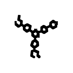 C=C/C=C(\C=C/C)c1ccc(-c2cc(-c3ccc(C(/C=C\C)=C/C=C)cc3)nc(-c3ccc(-c4ccncc4)cc3)n2)cc1